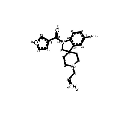 C=CCN1CCC2(CC1)CN(C(=O)c1ccoc1)c1ccc(F)cc12